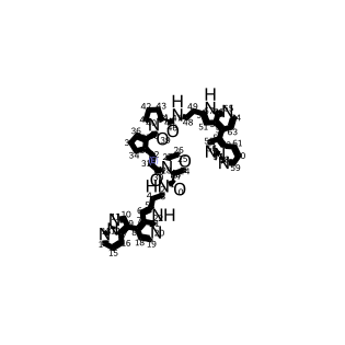 O=C(NCCc1cc2c(-c3cnn4ncccc34)ccnc2[nH]1)[C@@H]1COCCN1C(=O)/C=C/C1CCC=C1C(=O)N1CCC[C@H]1C(=O)NCCc1cc2c(-c3cnn4ncccc34)ccnc2[nH]1